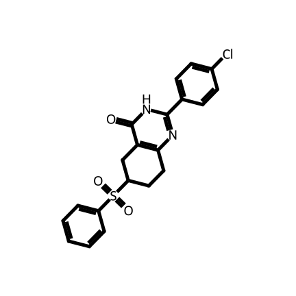 O=c1[nH]c(-c2ccc(Cl)cc2)nc2c1CC(S(=O)(=O)c1ccccc1)CC2